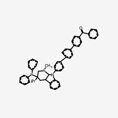 CC(C)C1(N(c2ccccc2)c2ccccc2)CC2c3ccccc3N(c3ccc(-c4ccc(-c5ccc(C(=O)c6ccccc6)cc5)cc4)cc3)C2N(C)C1